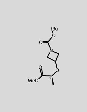 COC(=O)[C@H](C)OC1CN(C(=O)OC(C)(C)C)C1